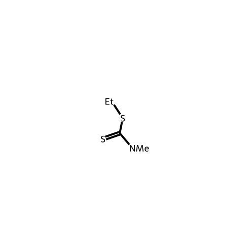 CCSC(=S)NC